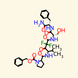 CC(C)C(NC(=O)C1CCCN1C(=O)OCc1ccccc1)C(=O)C(F)(F)C(=O)N[C@@H](CO)C(=O)N[C@@H](Cc1ccccc1)C(N)=O